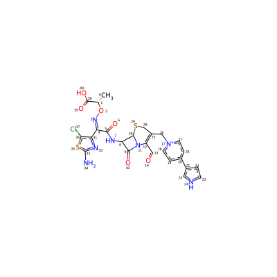 C[C@H](O/N=C(\C(=O)NC1C(=O)N2C(C=O)=C(C[n+]3ccc(-c4cc[nH]c4)cc3)CSC12)c1nc(N)sc1Cl)C(=O)O